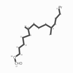 CC(C)CCCC(C)CCCC(C)CCCCCOC=O